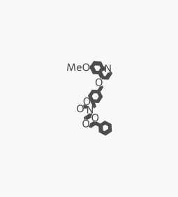 COc1ccc2nccc(OCC3CCC4(CC3)CN(C3=COC=C(C5=CC=CCC5)O3)C(=O)O4)c2c1